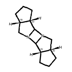 C1C[C@H]2CN3C([C@H]2C1)N1C[C@@H]2CCC[C@@H]2C31